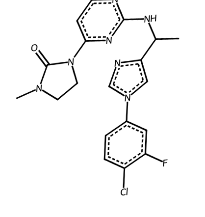 CC(Nc1nccc(N2CCN(C)C2=O)n1)c1cn(-c2ccc(Cl)c(F)c2)cn1